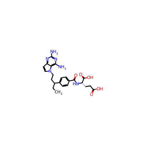 CCC(CCn1ccc2nc(N)nc(N)c21)c1ccc(C(=O)N[C@@H](CCC(=O)O)C(=O)O)cc1